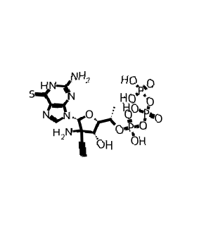 C#CC1(N)[C@@H](O)[C@@H]([C@H](C)OP(=O)(O)OP(=O)(O)OP(=O)(O)O)O[C@H]1n1cnc2c(=S)[nH]c(N)nc21